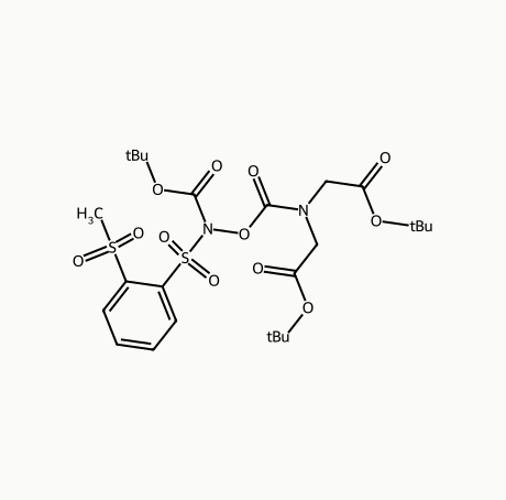 CC(C)(C)OC(=O)CN(CC(=O)OC(C)(C)C)C(=O)ON(C(=O)OC(C)(C)C)S(=O)(=O)c1ccccc1S(C)(=O)=O